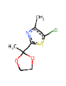 Cc1nc(C2(C)OCCO2)sc1Cl